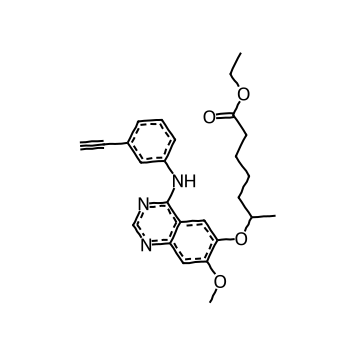 C#Cc1cccc(Nc2ncnc3cc(OC)c(OC(C)CCCCC(=O)OCC)cc23)c1